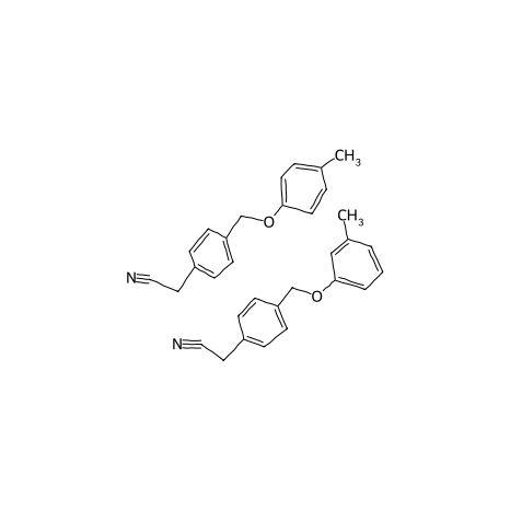 Cc1ccc(OCc2ccc(CC#N)cc2)cc1.Cc1cccc(OCc2ccc(CC#N)cc2)c1